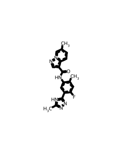 Cc1ccc2c(C(=O)Nc3cc(-c4nnc(C)[nH]4)c(F)cc3C)cnn2c1